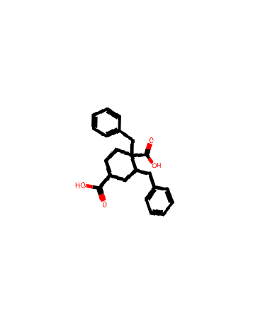 O=C(O)C1CCC(Cc2ccccc2)(C(=O)O)C(Cc2ccccc2)C1